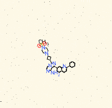 CS(=O)(=O)N1CCN(C2CC(c3nc(-c4ccc5ccc(-c6ccccc6)nc5c4)c4c(N)nccn34)C2)CC1